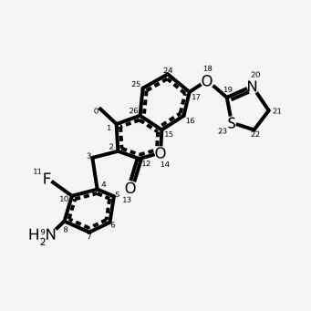 Cc1c(Cc2cccc(N)c2F)c(=O)oc2cc(OC3=NCCS3)ccc12